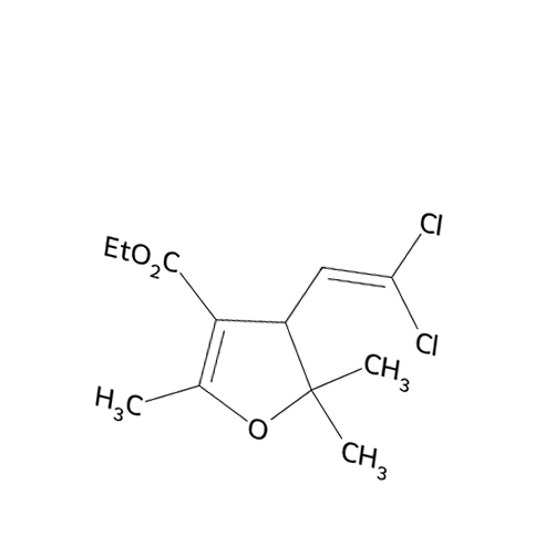 CCOC(=O)C1=C(C)OC(C)(C)C1C=C(Cl)Cl